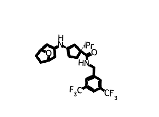 CC(C)[C@]1(C(=O)NCc2cc(C(F)(F)F)cc(C(F)(F)F)c2)CC[C@@H](NC2CC3CCC(C2)O3)C1